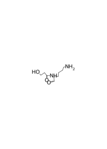 NCCCCC(C=O)NC(=O)CCO